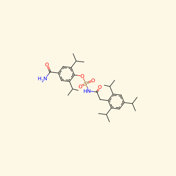 CC(C)c1cc(C(C)C)c(CC(=O)NS(=O)(=O)Oc2c(C(C)C)cc(C(N)=O)cc2C(C)C)c(C(C)C)c1